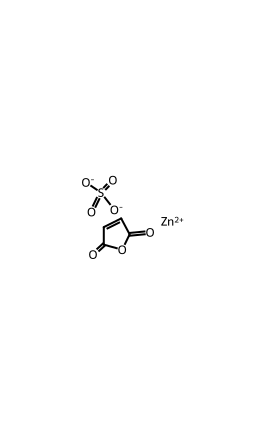 O=C1C=CC(=O)O1.O=S(=O)([O-])[O-].[Zn+2]